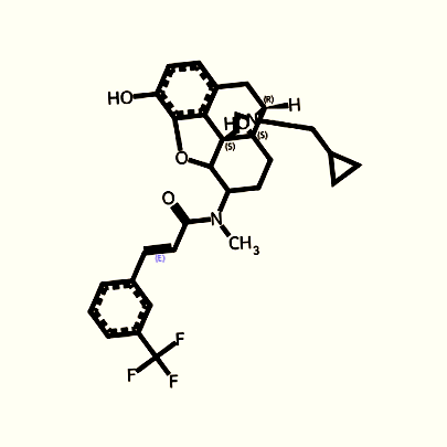 CN(C(=O)/C=C/c1cccc(C(F)(F)F)c1)C1CC[C@@]2(O)[C@H]3Cc4ccc(O)c5c4[C@@]2(CCN3CC2CC2)C1O5